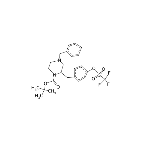 CC(C)(C)OC(=O)N1CCN(Cc2ccccc2)CC1Cc1ccc(OS(=O)(=O)C(F)(F)F)cc1